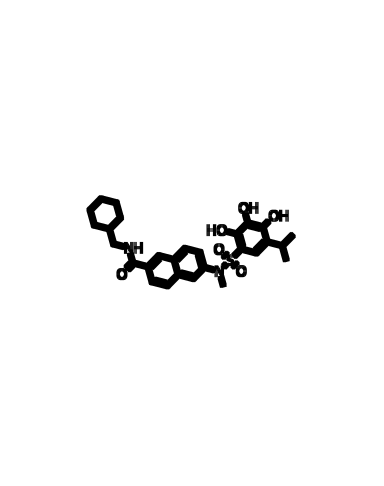 CC(C)c1cc(S(=O)(=O)N(C)c2ccc3cc(C(=O)NCC4CCCCC4)ccc3c2)c(O)c(O)c1O